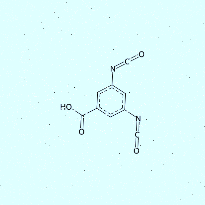 O=C=Nc1cc(N=C=O)cc(C(=O)O)c1